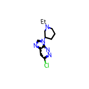 CCN1CCC[C@@H](n2cnc3cc(Cl)nnc32)C1